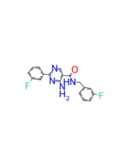 Nc1nc(-c2cccc(F)c2)ncc1C(=O)NCc1cccc(F)c1